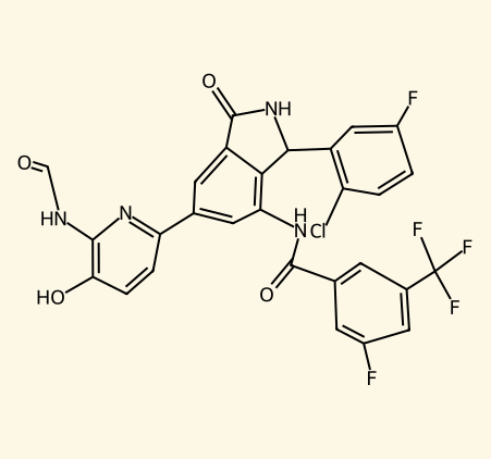 O=CNc1nc(-c2cc(NC(=O)c3cc(F)cc(C(F)(F)F)c3)c3c(c2)C(=O)NC3c2cc(F)ccc2Cl)ccc1O